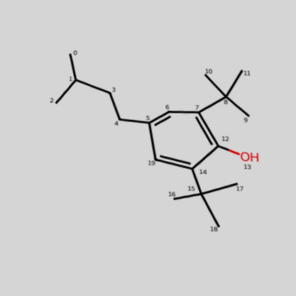 CC(C)CCc1cc(C(C)(C)C)c(O)c(C(C)(C)C)c1